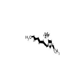 C=C[n+]1ccn(CCCCCCC)c1.F[P-](F)(F)(F)(F)F